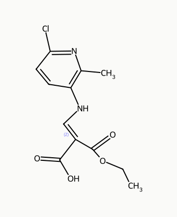 CCOC(=O)/C(=C\Nc1ccc(Cl)nc1C)C(=O)O